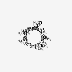 CC(C)C[C@@H]1C(=O)N[C@H](CC(C)C)C(=O)N(C)C(C(C)C)C(=O)N(C)C(C[C@H](C)C/C=C/c2ncccn2)C(=O)NC([C@@H](C)O)C(=O)N(C)CC(=O)N(C)[C@@H](CC(C)C)C(=O)N[C@H](CC(C)C)N(C)[C@H](CC(C)C)N[C@H](C)C(=O)OC(=O)N1C